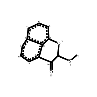 CSC1Oc2cccc3cccc(c23)C1=O